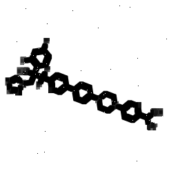 CC(C)C(O)c1ccc(N2CCN(c3ccc(-c4ccc(C(F)(F)C(O)(Cn5cnnn5)c5ccc(F)cc5F)nc4)cc3)CC2)cn1